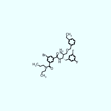 CCCN(CCC)C(=O)c1cc(Br)cc(C(=O)N[C@@H](Cc2cc(F)cc(F)c2)C(N)COCc2cccc(CC)c2)c1